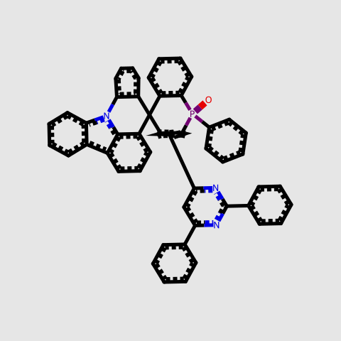 O=P1(c2ccccc2)c2ccccc2C2(c3ccccc3-n3c4ccccc4c4cccc2c43)c2ccc(-c3cc(-c4ccccc4)nc(-c4ccccc4)n3)cc21